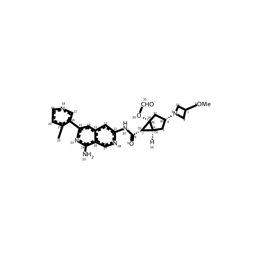 COC1CN([C@@H]2C[C@H]3[C@H](C(=O)Nc4cc5cc(-c6cnccc6C)nc(N)c5cn4)[C@@]3(OC=O)C2)C1